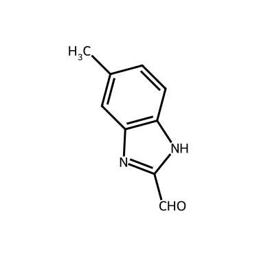 Cc1ccc2[nH]c(C=O)nc2c1